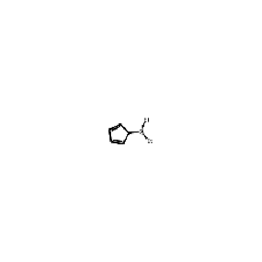 CC[SiH](CC)C1C=CC=C1